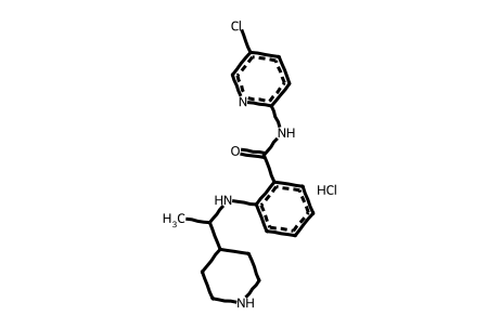 CC(Nc1ccccc1C(=O)Nc1ccc(Cl)cn1)C1CCNCC1.Cl